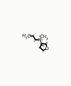 CCCN(C)[C@@H]1CCOC1